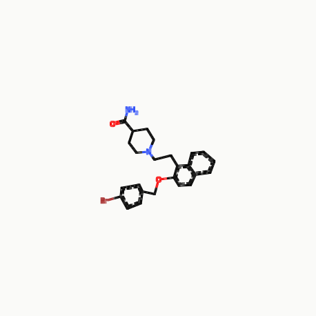 NC(=O)C1CCN(CCc2c(OCc3ccc(Br)cc3)ccc3ccccc23)CC1